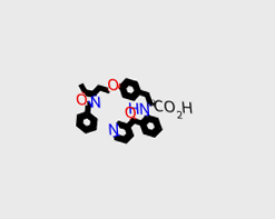 Cc1oc(-c2ccccc2)nc1CCOc1ccc(C[C@H](Nc2ccccc2C(=O)c2cccnc2)C(=O)O)cc1